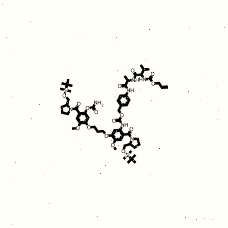 C=CCOC(=O)NC(C(=O)NC(C)C(=O)Nc1ccc(COC(=O)Nc2cc(OCCCOc3cc(OC(N)=O)c(C(=O)N4CCCC4CO[Si](C)(C)C(C)(C)C)cc3OC)c(OC)cc2C(=O)N2CCCC2CO[Si](C)(C)C(C)(C)C)cc1)C(C)C